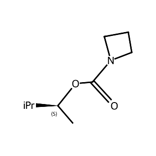 CC(C)[C@H](C)OC(=O)N1CCC1